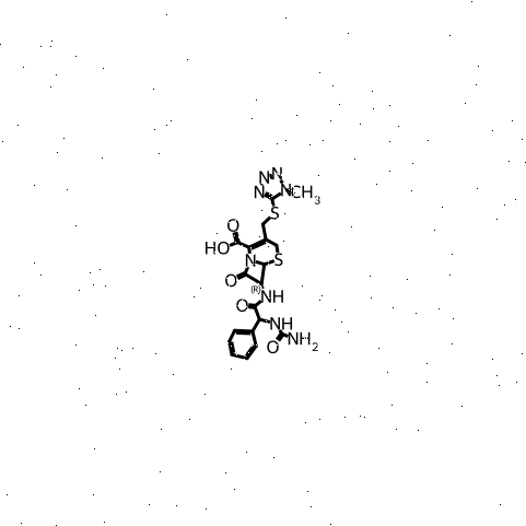 Cn1nnnc1SCC1=C(C(=O)O)N2C(=O)[C@@H](NC(=O)C(NC(N)=O)c3ccccc3)C2SC1